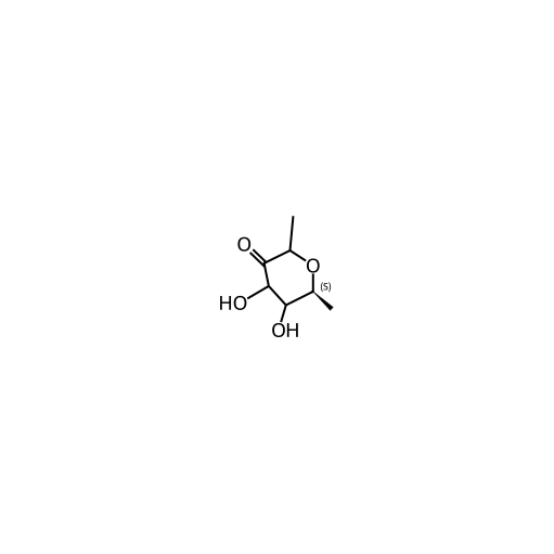 CC1O[C@@H](C)C(O)C(O)C1=O